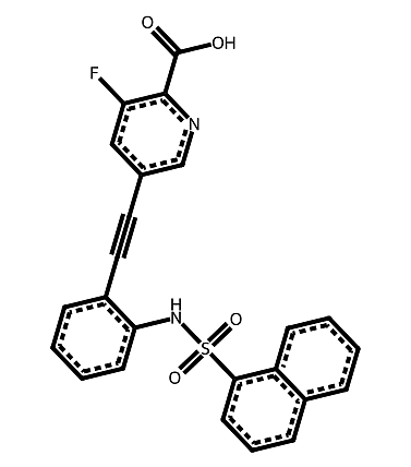 O=C(O)c1ncc(C#Cc2ccccc2NS(=O)(=O)c2cccc3ccccc23)cc1F